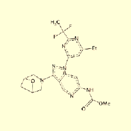 CCc1cc(-n2nc(N3CC4CC(C3)O4)c3cnc(NC(=O)OC)cc32)nc(C(C)(F)F)n1